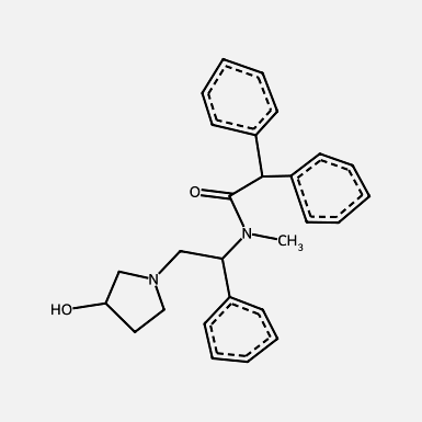 CN(C(=O)C(c1ccccc1)c1ccccc1)C(CN1CCC(O)C1)c1ccccc1